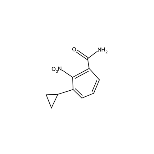 NC(=O)c1cccc(C2CC2)c1[N+](=O)[O-]